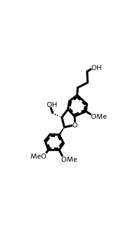 COc1ccc([C@@H]2Oc3c(OC)cc(CCCO)cc3[C@H]2CO)cc1OC